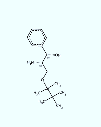 CC(C)(C)[Si](C)(C)OC[C@H](N)[C@@H](O)c1ccccc1